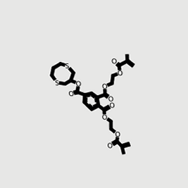 C=C(C)C(=O)OCCOC(=O)c1ccc(C(=O)OC2CSCCCSC2)cc1C(=O)OCCOC(=O)C(=C)C